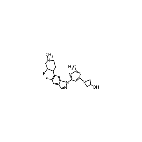 Cc1nc(N2CC(O)C2)cc(-n2ncc3cc(F)c(C4CCN(C)CC4F)cc32)n1